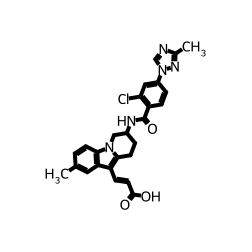 Cc1ccc2c(c1)c(/C=C/C(=O)O)c1n2CC(NC(=O)c2ccc(-n3cnc(C)n3)cc2Cl)CC1